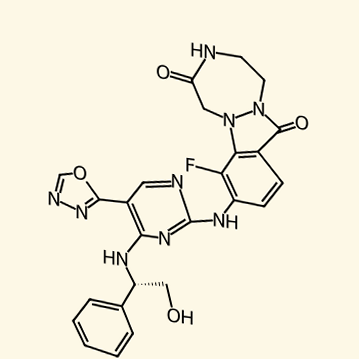 O=C1Cn2c3c(F)c(Nc4ncc(-c5nnco5)c(N[C@H](CO)c5ccccc5)n4)ccc3c(=O)n2CCN1